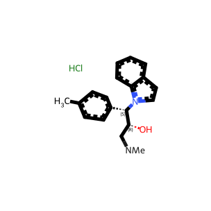 CNC[C@@H](O)[C@H](c1ccc(C)cc1)n1ccc2ccccc21.Cl